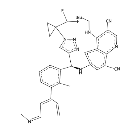 C=C/C(=C\C=N/C)c1cccc([C@H](Nc2cc(C#N)c3ncc(C#N)c(NCC(C)(C)C)c3c2)c2cn(C3(C(F)F)CC3)nn2)c1C